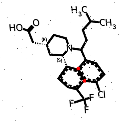 CC(C)CCC(c1ccc(Cl)cc1)N1CC[C@@H](CC(=O)O)C[C@H]1c1ccc(C(F)(F)F)cc1